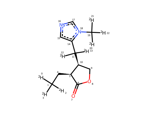 [2H]C([2H])([2H])C[C@@H]1C(=O)OC[C@@H]1C([2H])([2H])c1cncn1C([2H])([2H])[2H]